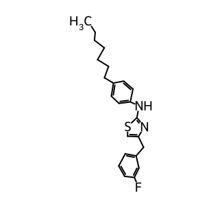 CCCCCCCc1ccc(Nc2nc(Cc3cccc(F)c3)cs2)cc1